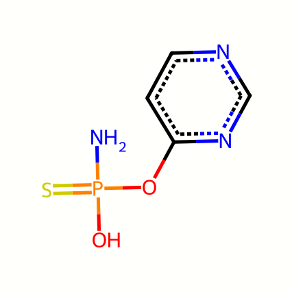 NP(O)(=S)Oc1ccncn1